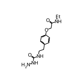 CCNC(=O)COc1ccc(CCNC(=O)NN)cc1